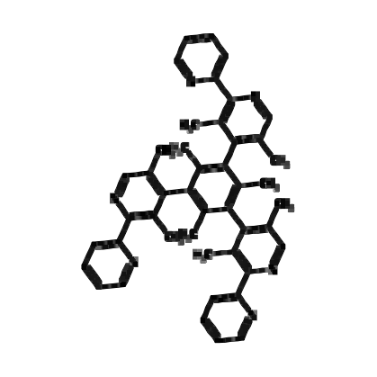 Cc1cnc(-c2ccccn2)c(C)c1-c1c(C)c(-c2c(C)cnc(-c3ccccn3)c2C)c(C)c(-c2c(C)cnc(-c3ccccn3)c2C)c1C